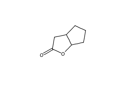 O=C1CC2CCCC2O1